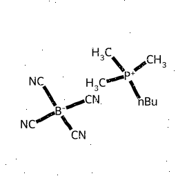 CCCC[P+](C)(C)C.N#C[B-](C#N)(C#N)C#N